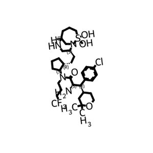 CC1(C)CC([C@H](c2ccc(Cl)cc2)[C@H](N)C(=O)N(CCCC(F)(F)F)[C@H]2CCC[C@@H]2CC[C@H]2CN[C@@H]3CCCS(O)(O)N2C3)CCO1